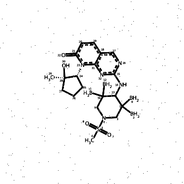 BC1(B)CN(S(C)(=O)=O)CC(B)(B)C1Nc1ncc2ccc(=O)n([C@@H]3CCC[C@@]3(C)O)c2n1